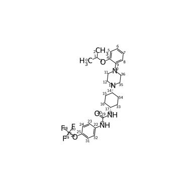 CC(C)Oc1ccccc1N1CCN([C@H]2CC[C@@H](NC(=O)Nc3ccc(OC(F)(F)F)cc3)CC2)CC1